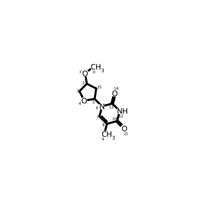 COC1COC(n2cc(C)c(=O)[nH]c2=O)C1